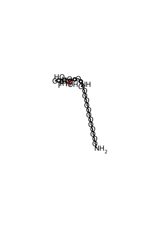 C[C@]12C=CC(=O)C=C1[C@@H](F)C[C@H]1[C@@H]3C[C@H]4OC(c5ccc(Oc6ccc(NC(=O)CCOCCOCCOCCOCCOCCOCCOCCOCCOCCOCCOCCOCCN)cc6)cc5)O[C@@]4(C(=O)CO)[C@@]3(C)C[C@H](O)[C@@]12F